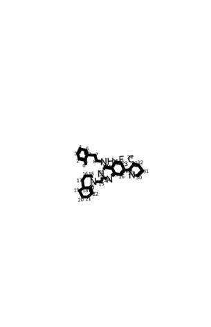 Cc1ccccc1CCNc1nc(CN2CCCC3CCCC=C32)nc2cc(-c3ncccc3C(F)(F)F)ccc12